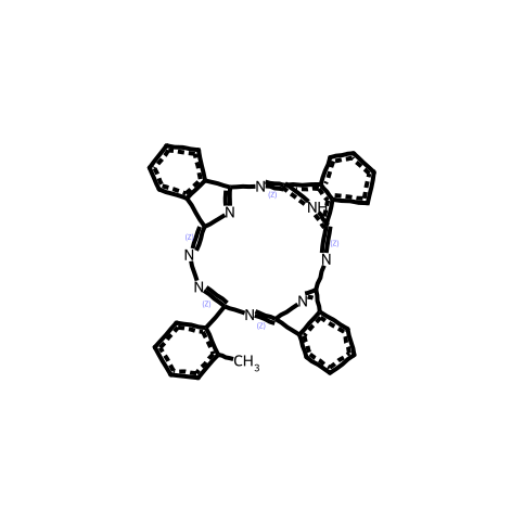 Cc1ccccc1C1=N/N=C2N=C(/N=c3\[nH]/c(c4ccccc34)=N\C3=NC(=N\1)/c1ccccc13)c1ccccc1\2